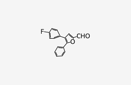 O=Cc1cc(-c2ccc(F)cc2)c(-c2ccccc2)o1